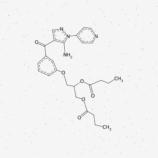 CCCC(=O)OCC(COc1cccc(C(=O)c2cnn(-c3ccncc3)c2N)c1)OC(=O)CCC